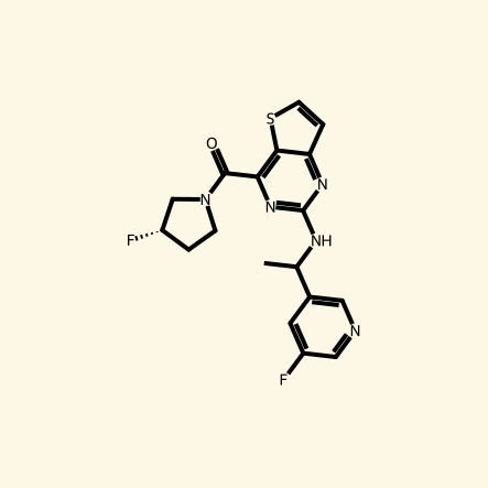 CC(Nc1nc(C(=O)N2CC[C@H](F)C2)c2sccc2n1)c1cncc(F)c1